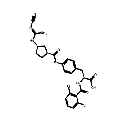 N#C/N=C(\N)N[C@@H]1CC[C@H](C(=O)Nc2ccc(C[C@H](NC(=O)c3c(Cl)cccc3Cl)C(=O)O)cc2)C1